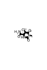 Cn1c(=O)[nH]c(C(N)=O)c(Cl)c1=O